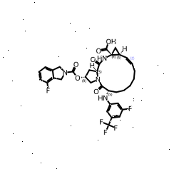 O=C1N[C@]2(C(=O)O)C[C@H]2/C=C\CCCCC[C@H](Nc2cc(F)cc(C(F)(F)F)c2)C(=O)N2C[C@H](OC(=O)N3Cc4cccc(F)c4C3)C[C@@H]12